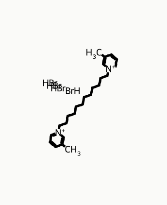 Br.Br.Br.Br.Cc1ccc[n+](CCCCCCCCCCCC[n+]2cccc(C)c2)c1